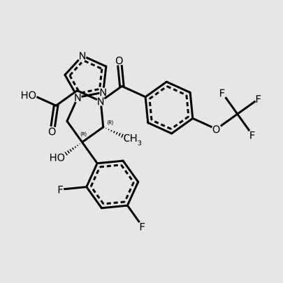 C[C@@H](N(CC(=O)O)C(=O)c1ccc(OC(F)(F)F)cc1)[C@](O)(Cn1cncn1)c1ccc(F)cc1F